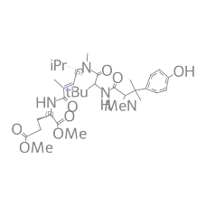 CNC(C(=O)NC(C(=O)N(C)[C@H](/C=C(\C)C(=O)N[C@H](CCC(=O)OC)C(=O)OC)C(C)C)C(C)(C)C)C(C)(C)c1ccc(O)cc1